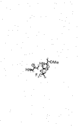 CO[C@H](C)C(=O)N[C@@H](CCC(=O)C=N)C(=O)OC(C)(C)C(F)(F)F